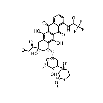 CO[C@@H]1C[N+]([O-])(C2C[C@@H](O[C@H]3C[C@](O)(C(=O)CO)Cc4c(O)c5c(c(O)c43)C(=O)c3c(NC(=O)C(F)(F)F)cccc3C5=O)O[C@@H](C)[C@H]2O)CCO1